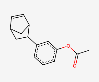 CC(=O)Oc1cccc(C2CC3C=CC2C3)c1